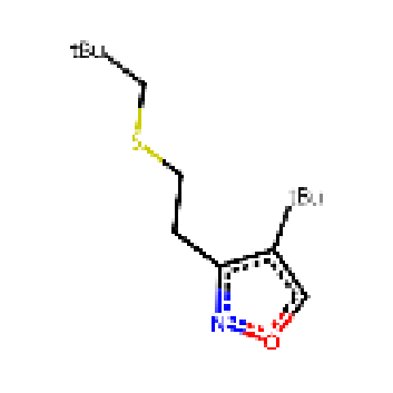 CC(C)(C)CSCCc1nocc1C(C)(C)C